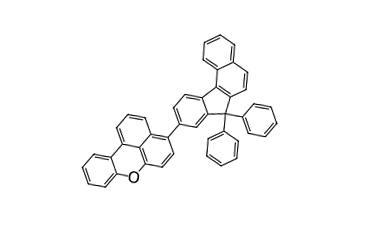 c1ccc(C2(c3ccccc3)c3cc(-c4ccc5c6c(cccc46)-c4ccccc4O5)ccc3-c3c2ccc2ccccc32)cc1